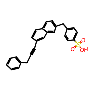 O=S(=O)(O)c1ccc(Cc2ccc3ccc(C#CCc4ccccc4)cc3c2)cc1